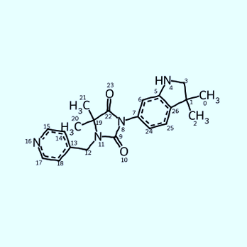 CC1(C)CNc2cc(N3C(=O)N(Cc4ccncc4)C(C)(C)C3=O)ccc21